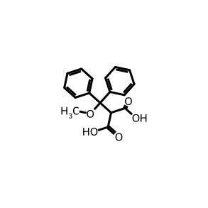 COC(c1ccccc1)(c1ccccc1)C(C(=O)O)C(=O)O